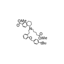 COC(=O)CCCCN(CCc1ccccc1OCc1ccc(C(C)(C)C)cc1)C1CCCc2cc(C(=O)OC)ccc21